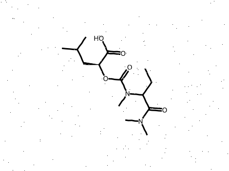 CCC(C(=O)N(C)C)N(C)C(=O)O[C@@H](CC(C)C)C(=O)O